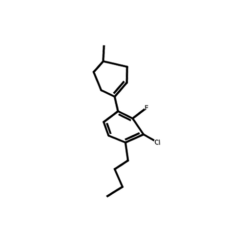 CCCCc1ccc(C2=CCC(C)CC2)c(F)c1Cl